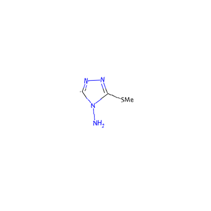 CSc1nn[c]n1N